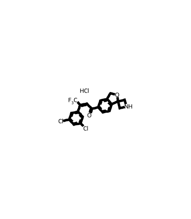 Cl.O=C(/C=C(\c1cc(Cl)cc(Cl)c1)C(F)(F)F)c1ccc2c(c1)COC21CNC1